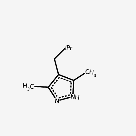 Cc1n[nH]c(C)c1CC(C)C